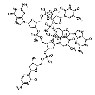 Cc1cn([C@H]2CC(OP(=O)(S)OC[C@H]3O[C@@H](n4ccc(N)nc4=O)CC3C(C)C)[C@@H](COP(=O)(S)OC3C[C@H](n4cnc5c(=O)[nH]c(N)nc54)O[C@@H]3COP(=O)(S)OC3C[C@H](n4cc(C)c(=O)[nH]c4=O)O[C@@H]3COP(=O)(S)OC3C[C@H](n4cnc5c(=O)[nH]c(N)nc54)O[C@@H]3COP(=O)(S)OC3CN3C)O2)c(=O)[nH]c1=O